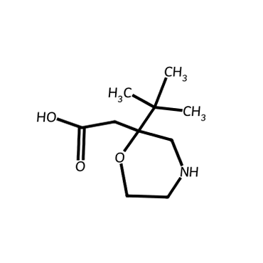 CC(C)(C)C1(CC(=O)O)CNCCO1